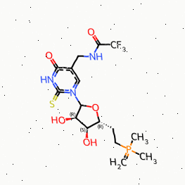 C=P(C)(C)CC[C@H]1OC(n2cc(CNC(=O)C(F)(F)F)c(=O)[nH]c2=S)[C@H](O)[C@@H]1O